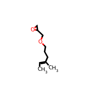 CC=C(C)CCCOCC1CO1